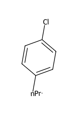 CC[CH]c1ccc(Cl)cc1